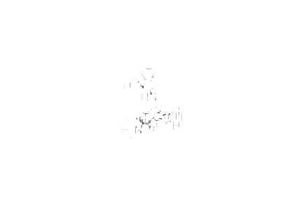 CC(C)(C)[Si](C)(C)OC(CNCCc1ccccc1N)c1cc(Cl)c(N)c(Cl)c1